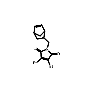 CCC1=C(CC)C(=O)N(CC2CC3C=CC2C3)C1=O